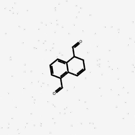 O=[C]c1cccc2c1C=CCC2[C]=O